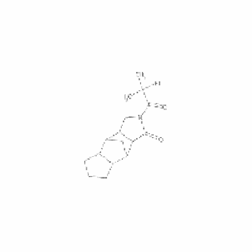 CCC(C)(C)C(=O)N1CC2C3CC(C4CCCC43)C2C1=O